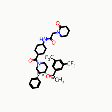 C[C@@H](O[C@H]1CCN(C(=O)C2CCC(NC(=O)CN3CCCCC3=O)CC2)C[C@H]1c1ccccc1)c1cc(C(F)(F)F)cc(C(F)(F)F)c1